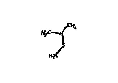 CN(C)SN